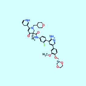 COc1cc(-c2cnc(N)c(-c3ccc(NC(=O)C4(C)CN(CC5CCOCC5)C(C5=CNC=CC5)=CC4=O)cc3F)c2)ccc1OC[C@H]1COCCO1